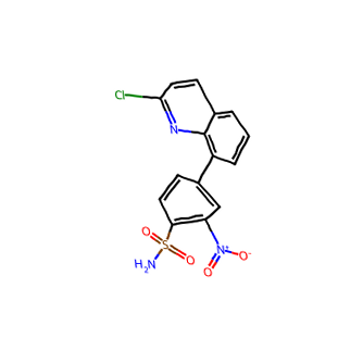 NS(=O)(=O)c1ccc(-c2cccc3ccc(Cl)nc23)cc1[N+](=O)[O-]